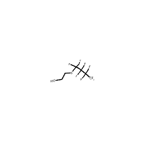 OCCSC(F)(F)C(F)(F)C(F)(F)C(F)(F)F